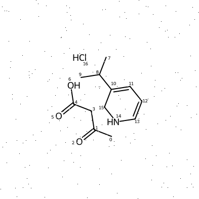 CC(=O)CC(=O)O.CC(C)C1=CC=CNC1.Cl